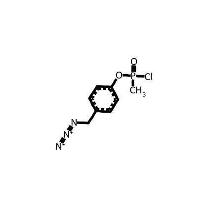 CP(=O)(Cl)Oc1ccc(CN=[N+]=[N-])cc1